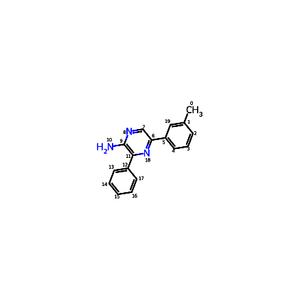 Cc1cccc(-c2cnc(N)c(-c3ccccc3)n2)c1